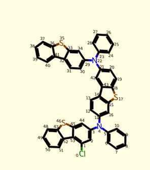 Clc1cc(N(c2ccccc2)c2ccc3c(c2)sc2ccc(N(c4ccccc4)c4ccc5c(c4)sc4ccccc45)cc23)cc2sc3ccccc3c12